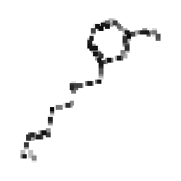 CC=CCCOCc1cccc([SiH3])c1